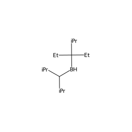 CCC(BC(C(C)C)C(C)C)(CC)C(C)C